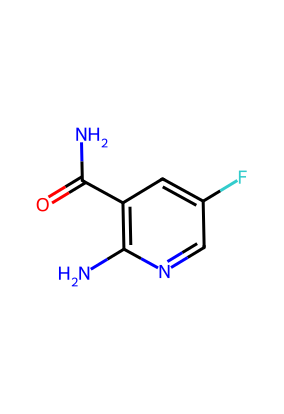 NC(=O)c1cc(F)cnc1N